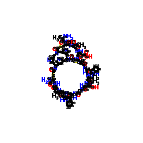 CC(C)[C@@H]1NC(=O)[C@H](Cc2c[nH]c3ccccc23)NC(=O)[C@@H]2CSCC(=O)N3Cc4cncc(c4)CN(Cc4cncc(c4)CN(Cc4cncc(c4)C3)C(=O)CSC[C@H](NC(=O)[C@H](C)N)C(=O)N[C@@H]([C@@H](C)O)C(=O)N[C@@H](CCC(=O)O)C(=O)N2)C(=O)CSC[C@@H](C(N)=O)NC(=O)[C@@H]2CCCN2C(=O)[C@H](C(C)C)NC(=O)[C@H](Cc2c[nH]c3ccccc23)NC(=O)CNC(=O)[C@H](CC(=O)O)NC1=O